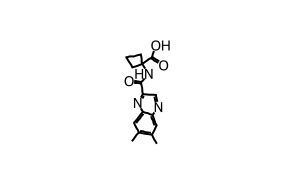 Cc1cc2ncc(C(=O)NC3(C(=O)O)CCC3)nc2cc1C